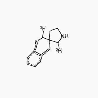 [2H]C1N=c2ccccc2=CC12CCNC2[2H]